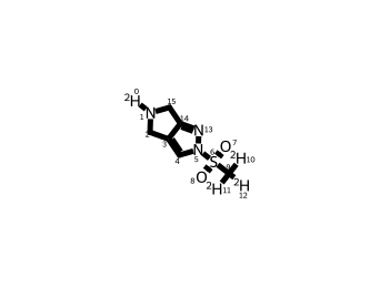 [2H]N1Cc2cn(S(=O)(=O)C([2H])([2H])[2H])nc2C1